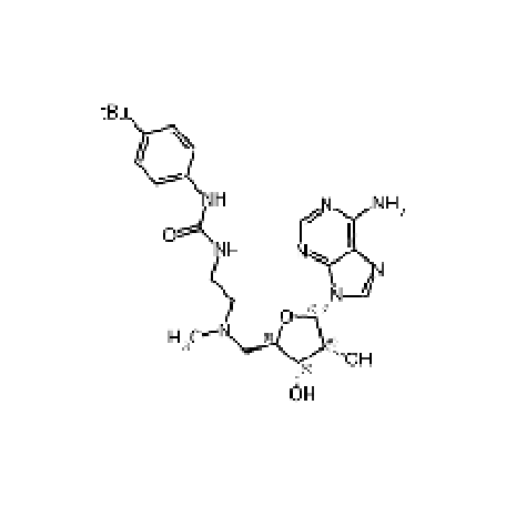 CN(CCNC(=O)Nc1ccc(C(C)(C)C)cc1)C[C@H]1O[C@H](n2cnc3c(N)ncnc32)[C@H](O)[C@@H]1O